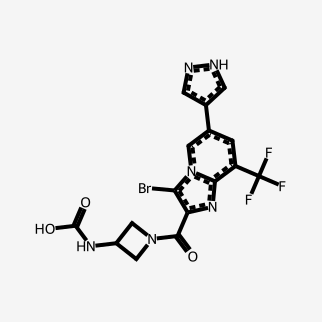 O=C(O)NC1CN(C(=O)c2nc3c(C(F)(F)F)cc(-c4cn[nH]c4)cn3c2Br)C1